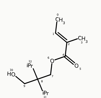 CC=C(C)C(=O)OCC(CO)(C(C)C)C(C)C